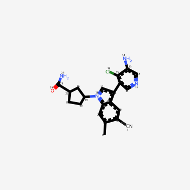 Cc1cc2c(cc1C#N)c(-c1cncc(N)c1Cl)cn2C1CCC(C(N)=O)C1